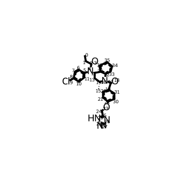 CCC(=O)N(c1ccc(Cl)cc1)[C@H]1C[C@@H](C)N(C(=O)c2ccc(OCc3nnn[nH]3)cc2)c2ccccc21